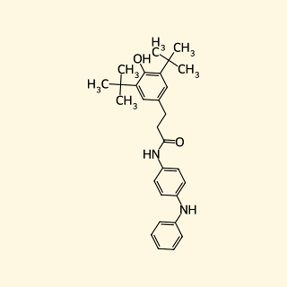 CC(C)(C)c1cc(CCC(=O)Nc2ccc(Nc3ccccc3)cc2)cc(C(C)(C)C)c1O